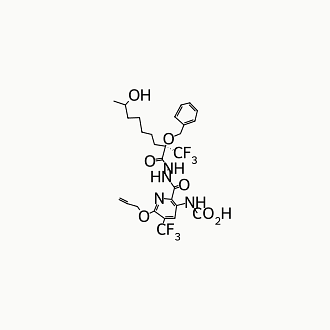 C=CCOc1nc(C(=O)NNC(=O)[C@@](CCCCCC(C)O)(OCc2ccccc2)C(F)(F)F)c(NC(=O)O)cc1C(F)(F)F